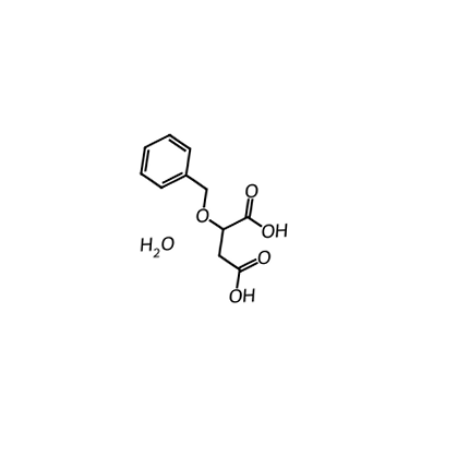 O.O=C(O)CC(OCc1ccccc1)C(=O)O